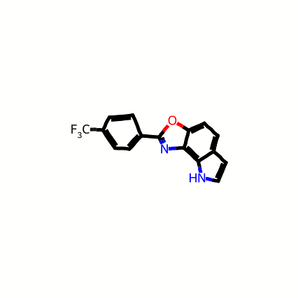 FC(F)(F)c1ccc(-c2nc3c(ccc4cc[nH]c43)o2)cc1